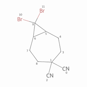 N#CC1(C#N)CCC2C(CC1)C2(Br)Br